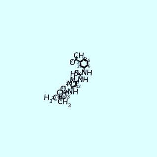 CC(=O)c1cccc(NC(=S)Nc2cc(NC(=O)OC(C)(C)C)n[nH]2)c1